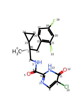 C[C@@](CNC(=O)c1ncc(Cl)c(=O)[nH]1)(Cc1ccc(F)cc1F)C1CC1